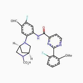 COc1cccc(F)c1-c1nccc(C(=O)Nc2cc(F)c(C=O)cc2N2C[C@@H]3C[C@H]2CN3C(=O)O)n1